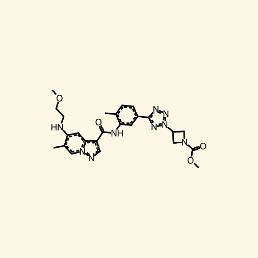 COCCNc1cc2c(C(=O)Nc3cc(-c4nnn(C5CN(C(=O)OC)C5)n4)ccc3C)cnn2cc1C